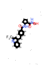 O=C(NC1CCCC1C(=O)NO)c1ccc(Cc2cc(C(F)(F)F)nc3ccccc23)cc1